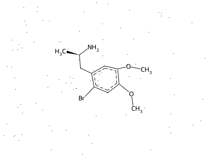 COc1cc(Br)c(C[C@@H](C)N)cc1OC